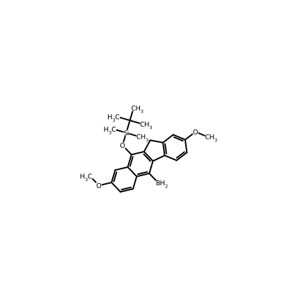 Bc1c2c(c(O[Si](C)(C)C(C)(C)C)c3cc(OC)ccc13)Cc1cc(OC)ccc1-2